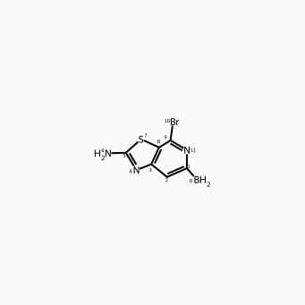 Bc1cc2nc(N)sc2c(Br)n1